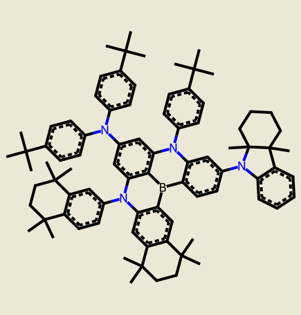 CC(C)(C)c1ccc(N(c2ccc(C(C)(C)C)cc2)c2cc3c4c(c2)N(c2ccc5c(c2)C(C)(C)CCC5(C)C)c2cc5c(cc2B4c2ccc(N4c6ccccc6C6(C)CCCCC46C)cc2N3c2ccc(C(C)(C)C)cc2)C(C)(C)CCC5(C)C)cc1